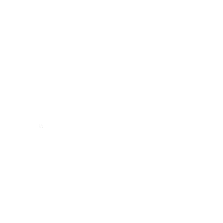 COC(Oc1cccc(C=CC(C)=C2SC(=S)NC2=O)c1)C(=O)O